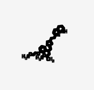 C=C(CC(CN1CCC(CCc2ccc3c(n2)NCCC3)C1)c1cccc(OCCOC)c1)OC